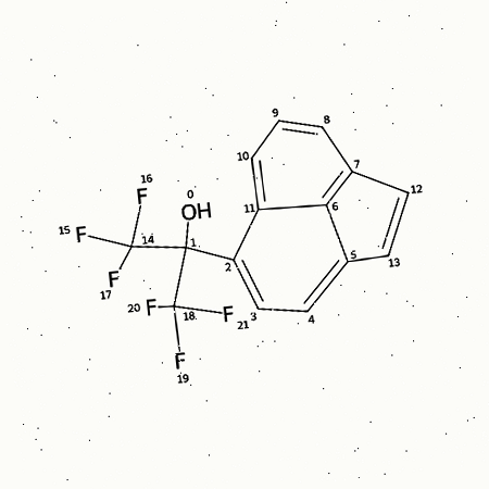 OC(c1ccc2c3c(cccc13)C=C2)(C(F)(F)F)C(F)(F)F